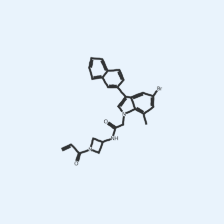 C=CC(=O)N1CC(NC(=O)Cn2cc(-c3ccc4ccccc4c3)c3cc(Br)cc(C)c32)C1